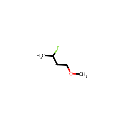 COC[CH]C(C)F